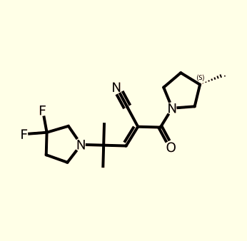 [CH2][C@H]1CCN(C(=O)C(C#N)=CC(C)(C)N2CCC(F)(F)C2)C1